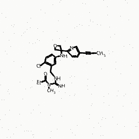 CC#Cc1ccc(C2(Nc3ccc(Cl)c(CNC(=N)N(C)C(=O)CC)c3)COC2)nc1